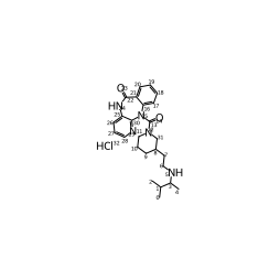 CC(C)C(C)NCCC1CCCN(C(=O)N2c3ccccc3C(=O)Nc3cccnc32)C1.Cl